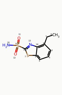 CCc1cccc2sc(S(N)(=O)=O)nc12